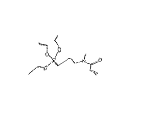 C=CC(=O)N(C)CCC[Si](OCC)(OCC)OCC